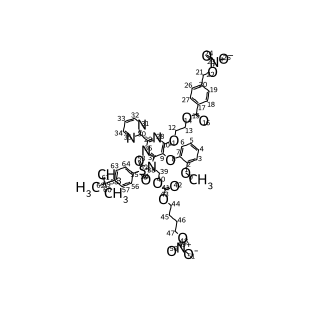 COc1ccccc1Oc1c(OCCOC(=O)c2ccc(CO[N+](=O)[O-])cc2)nc(-c2ncccn2)nc1N(COC(=O)OCCCCO[N+](=O)[O-])S(=O)(=O)c1ccc(C(C)(C)C)cc1